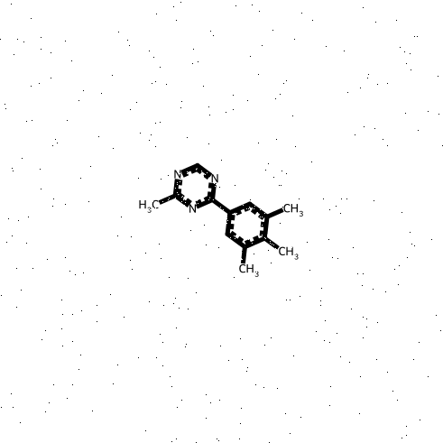 Cc1ncnc(-c2cc(C)c(C)c(C)c2)n1